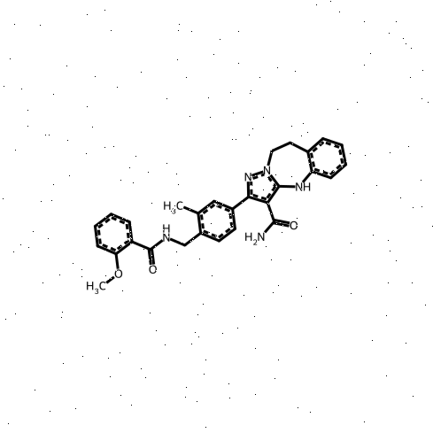 COc1ccccc1C(=O)NCc1ccc(-c2nn3c(c2C(N)=O)Nc2ccccc2CC3)cc1C